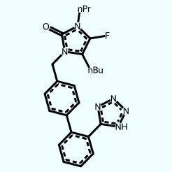 CCCCc1c(F)n(CCC)c(=O)n1Cc1ccc(-c2ccccc2-c2nnn[nH]2)cc1